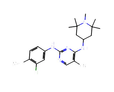 COc1ccc(Nc2ncc(C#N)c(NC3CC(C)(C)N(C)C(C)(C)C3)n2)cc1Cl